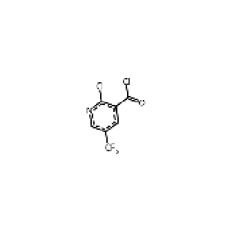 O=C(Cl)c1cc(C(F)(F)F)cnc1Cl